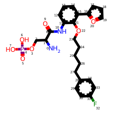 NC(COP(=O)(O)O)C(=O)Nc1cccc(-c2ccco2)c1OCCCCCc1ccc(F)cc1